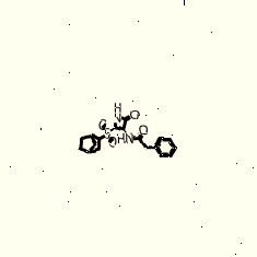 O=C(Cc1ccccc1)N[C@@H]1C(=O)N[C@@H]1S(=O)(=O)C1CC2CCC1C2